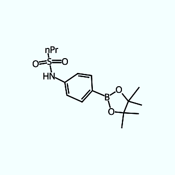 CCCS(=O)(=O)Nc1ccc(B2OC(C)(C)C(C)(C)O2)cc1